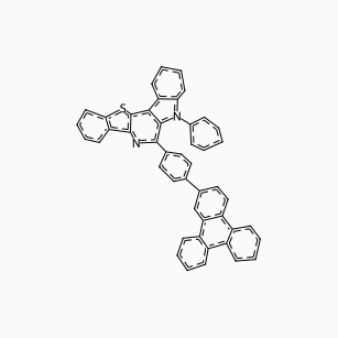 c1ccc(-n2c3ccccc3c3c4sc5ccccc5c4nc(-c4ccc(-c5ccc6c7ccccc7c7ccccc7c6c5)cc4)c32)cc1